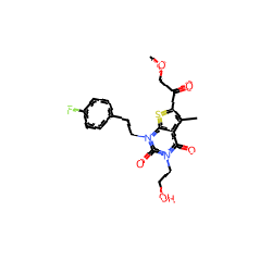 COCC(=O)c1sc2c(c1C)c(=O)n(CCO)c(=O)n2CCc1ccc(F)cc1